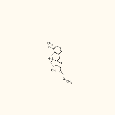 COCOC[C@@H]1[C@H]2Cc3cccc(OC)c3C[C@H]2C[C@H]1O